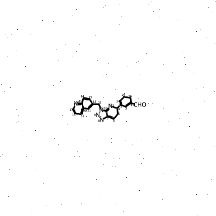 O=CC1=CC(C2CC=c3nnn(Cc4ccc5ncccc5c4)c3=N2)=CCC1